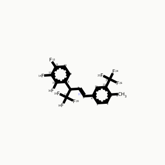 Cc1ccc(/C=C/C(c2ccc(F)c(F)c2F)C(F)(F)F)cc1C(F)(F)F